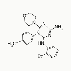 CCc1ccccc1NC1N=C(N)N=C(N2CCOCC2)N1c1ccc(C)cc1